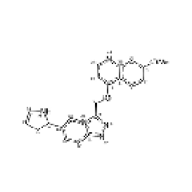 COc1ccc2c(OCc3nnc4ccc(C5CC=CN5)cn34)ccnc2c1